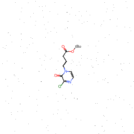 CC(C)(C)OC(=O)CCCn1ccnc(Cl)c1=O